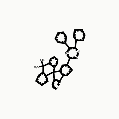 CC1(C)c2ccccc2C2(c3ccccc3-c3ccc(-c4nnc(-c5ccccc5)c(-c5ccccc5)n4)cc32)c2ccccc21